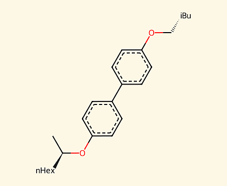 CCCCCC[C@@H](C)Oc1ccc(-c2ccc(OC[C@@H](C)CC)cc2)cc1